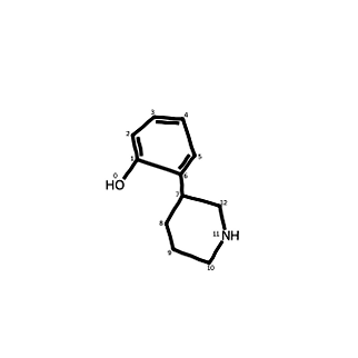 Oc1ccccc1C1CCCNC1